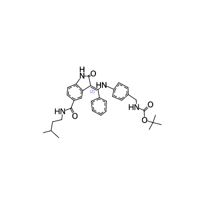 CC(C)CCNC(=O)c1ccc2c(c1)/C(=C(/Nc1ccc(CNC(=O)OC(C)(C)C)cc1)c1ccccc1)C(=O)N2